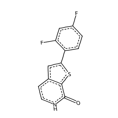 O=c1[nH]ccc2cc(-c3ccc(F)cc3F)sc12